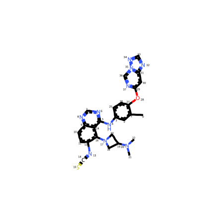 Cc1cc(Nc2ncnc3ccc(N=C=S)c(N4CC(N(C)C)C4)c23)ccc1Oc1cc2ncnn2cn1